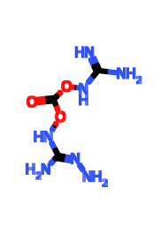 N=C(N)NOC(=O)ONC(N)=NN